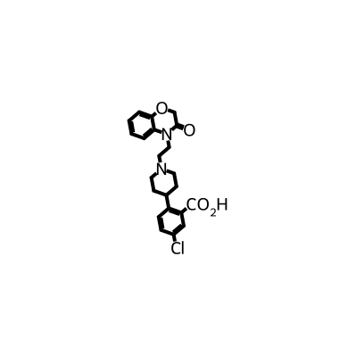 O=C(O)c1cc(Cl)ccc1C1CCN(CCN2C(=O)COc3ccccc32)CC1